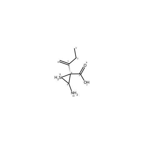 C=C(CC)[C@@]1(C(=O)O)[SiH2]C1N